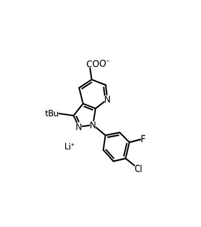 CC(C)(C)c1nn(-c2ccc(Cl)c(F)c2)c2ncc(C(=O)[O-])cc12.[Li+]